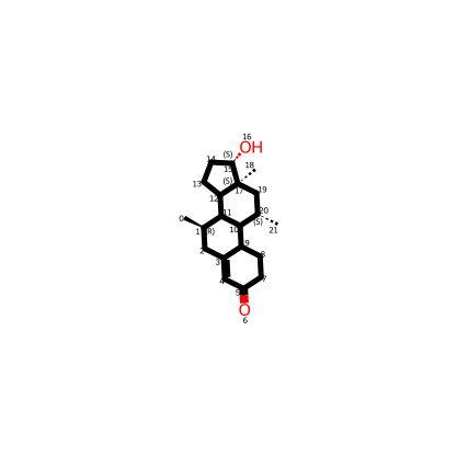 C[C@@H]1CC2=CC(=O)CCC2C2C1C1CC[C@H](O)[C@@]1(C)C[C@@H]2C